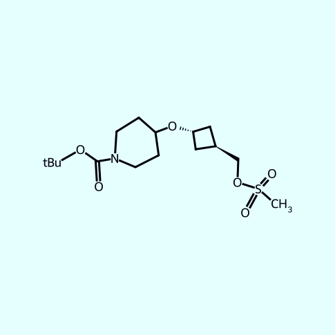 CC(C)(C)OC(=O)N1CCC(O[C@H]2C[C@H](COS(C)(=O)=O)C2)CC1